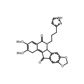 COC1=C(OC)CC2=C3C(=O)c4cc5c(cc4C3N(CCCc3cc[nH]n3)C(=O)C2=C1)OCO5